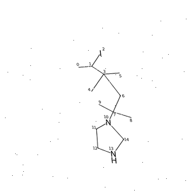 CC(I)C(C)(C)CC(C)(C)N1CCNC1